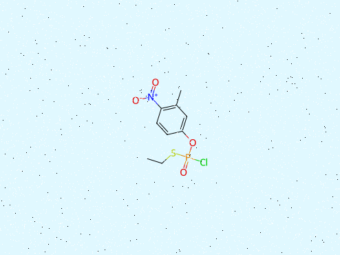 CCSP(=O)(Cl)Oc1ccc([N+](=O)[O-])c(C)c1